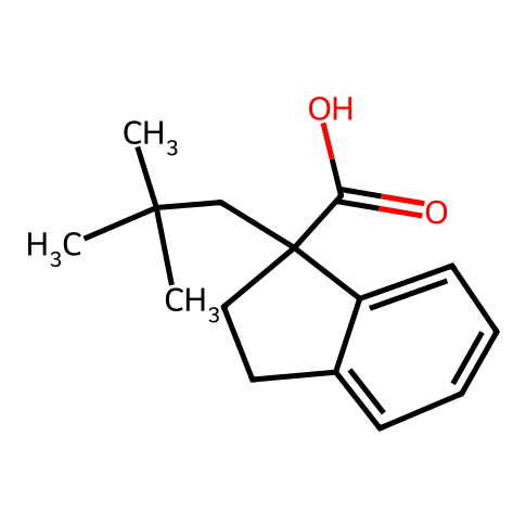 CC(C)(C)CC1(C(=O)O)CCc2ccccc21